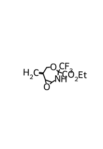 C=C1COC(C(=O)OCC)(C(F)(F)F)NC2OC12